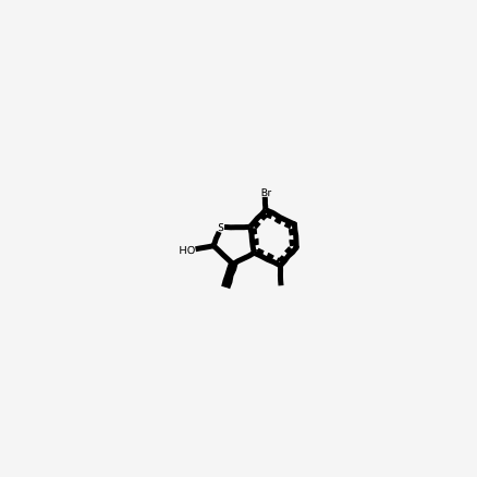 C=C1c2c(C)ccc(Br)c2SC1O